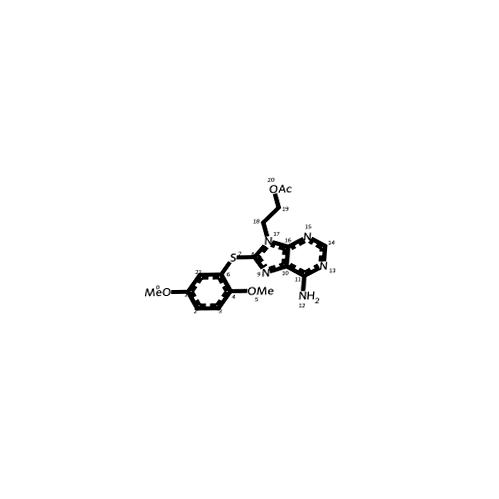 COc1ccc(OC)c(Sc2nc3c(N)ncnc3n2CCOC(C)=O)c1